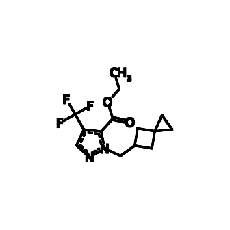 CCOC(=O)c1c(C(F)(F)F)cnn1CC1CC2(CC2)C1